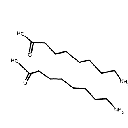 NCCCCCCCC(=O)O.NCCCCCCCC(=O)O